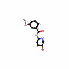 O=C(Nc1ccc(Br)cn1)c1cccc(OC(F)(F)F)c1